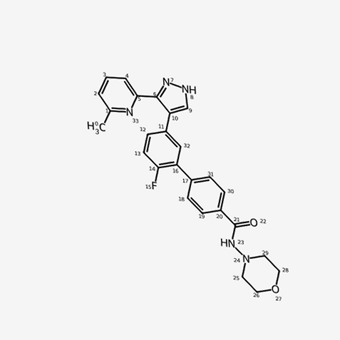 Cc1cccc(-c2n[nH]cc2-c2ccc(F)c(-c3ccc(C(=O)NN4CCOCC4)cc3)c2)n1